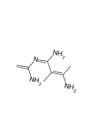 C=C(N)/N=C(N)\C(C)=C(/C)N